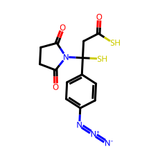 [N-]=[N+]=Nc1ccc(C(S)(CC(=O)S)N2C(=O)CCC2=O)cc1